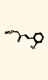 CCOC(=O)CC(=O)C=Cc1ccccc1C